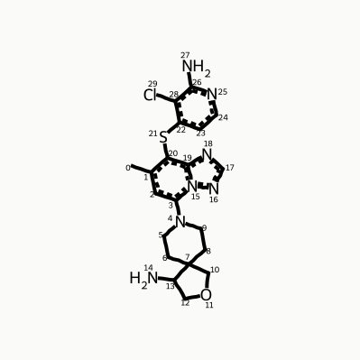 Cc1cc(N2CCC3(CC2)COCC3N)n2ncnc2c1Sc1ccnc(N)c1Cl